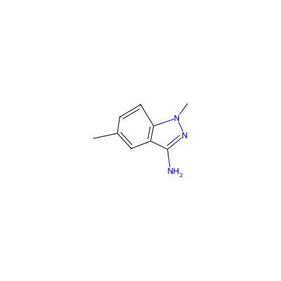 Cc1ccc2c(c1)c(N)nn2C